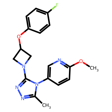 COc1ccc(-n2c(C)nnc2N2CC(Oc3ccc(F)cc3)C2)cn1